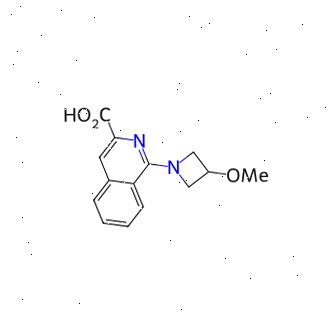 COC1CN(c2nc(C(=O)O)cc3ccccc23)C1